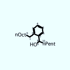 CCCCCCCCCc1ccccc1C(O)CCCCC